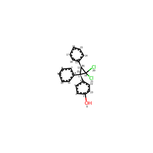 Oc1ccc([C@@]2(c3ccccc3)[C@@H](c3ccccc3)C2(Cl)Cl)cc1